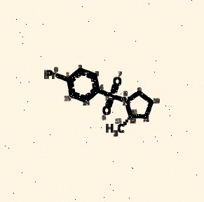 CC(C)c1ccc(S(=O)(=O)N2CCC[C@@H]2C)cc1